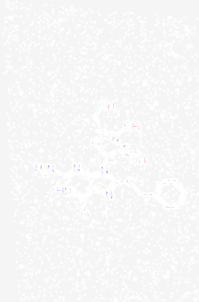 Nc1nc2c(nc(OCc3ccccc3)n2[C@@H]2O[C@H](CO)[C@H](O)[C@H]2O)c(=O)[nH]1